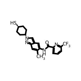 Cc1cc2nn([C@H]3CC[C@H](S)CC3)cc2cc1NC(=O)c1cccc(C(F)(F)F)n1